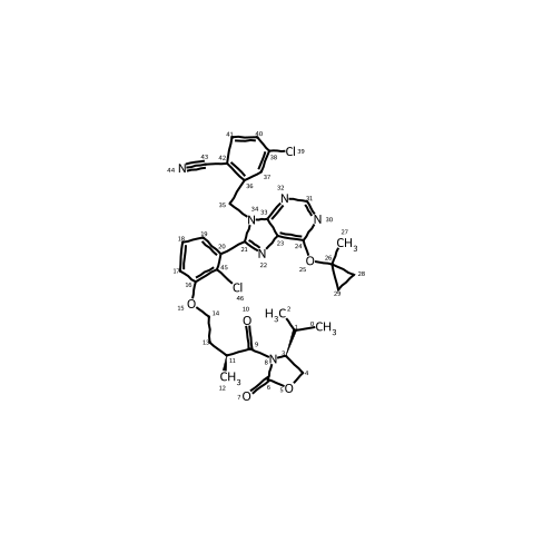 CC(C)[C@H]1COC(=O)N1C(=O)[C@@H](C)CCOc1cccc(-c2nc3c(OC4(C)CC4)ncnc3n2Cc2cc(Cl)ccc2C#N)c1Cl